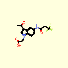 CC(=O)c1cn(CC(=O)O)c2ccc(NC(=O)CC(F)(F)F)cc12